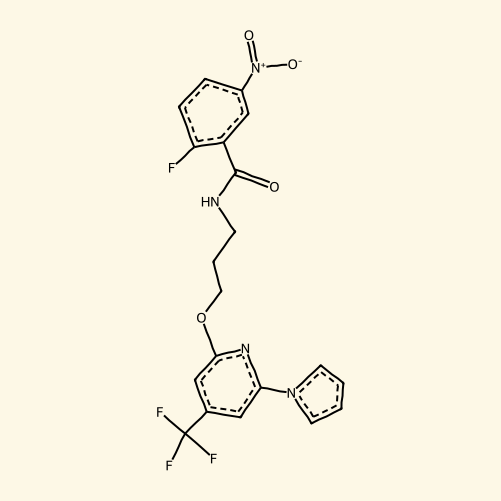 O=C(NCCCOc1cc(C(F)(F)F)cc(-n2cccc2)n1)c1cc([N+](=O)[O-])ccc1F